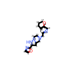 c1coc(C2CC3CN(Cc4cc5c(cn4)OCCC5)CCN3N2)n1